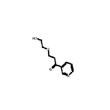 O=C(CCOCCO)c1cccnc1